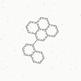 [c]1ccc(-c2cc3cccc4ccc5cccc2c5c43)c2ccccc12